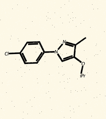 Cc1nn(-c2ccc(Cl)cc2)cc1OC(C)C